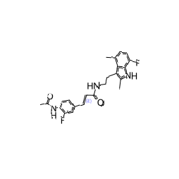 CC(=O)Nc1ccc(/C=C/C(=O)NCCc2c(C)[nH]c3c(F)ccc(C)c23)cc1F